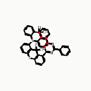 CC1(C)c2ccccc2N(c2cccc3c2C(C)(C)c2c(cccc2-c2nc(-c4ccccc4)nc(-c4ccccc4)n2)S3)c2ccccc21